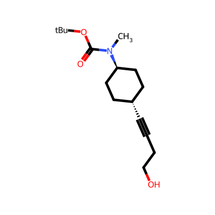 CN(C(=O)OC(C)(C)C)[C@H]1CC[C@H](C#CCCO)CC1